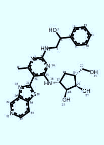 Cc1nc(NCC(O)c2ccccc2)nc(N[C@@H]2C[C@H](CO)[C@@H](O)[C@H]2O)c1-c1nc2cnccc2s1